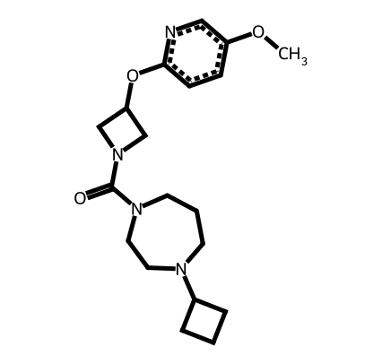 COc1ccc(OC2CN(C(=O)N3CCCN(C4CCC4)CC3)C2)nc1